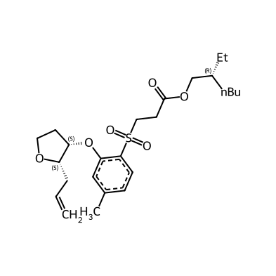 C=CC[C@@H]1OCC[C@@H]1Oc1cc(C)ccc1S(=O)(=O)CCC(=O)OC[C@H](CC)CCCC